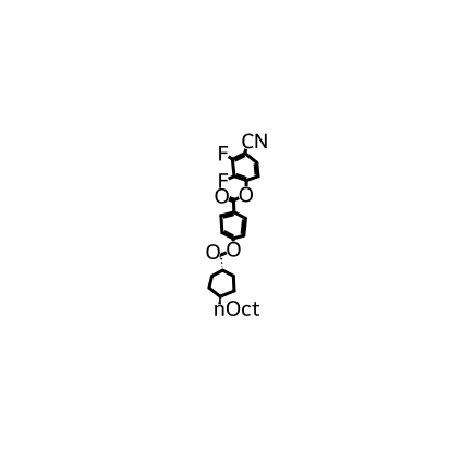 CCCCCCCC[C@H]1CC[C@H](C(=O)Oc2ccc(C(=O)Oc3ccc(C#N)c(F)c3F)cc2)CC1